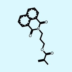 C=C(C)C(=O)OCCCN1C(=O)c2cccc3cccc(c23)C1=O